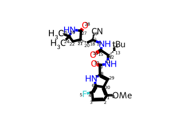 COc1ccc(F)c2[nH]c(C(=O)N[C@@H](CC(C)(C)C)C(=O)N[C@H](C#N)C[C@@H]3CC(C)(C)NC3=O)cc12